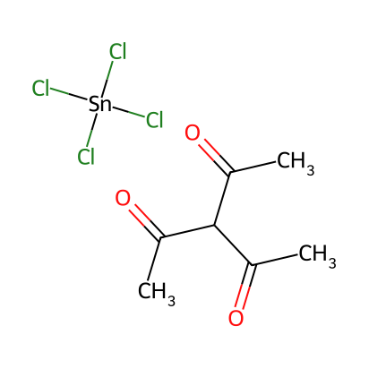 CC(=O)C(C(C)=O)C(C)=O.[Cl][Sn]([Cl])([Cl])[Cl]